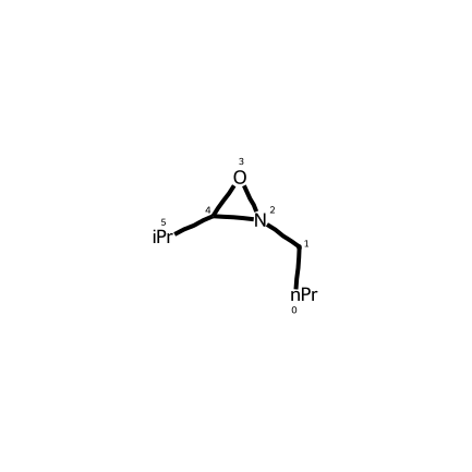 CCCCN1OC1C(C)C